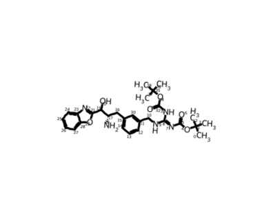 CC(C)(C)OC(=O)/N=C(/NCc1cccc(C[C@H](N)C(O)c2nc3ccccc3o2)c1)NC(=O)OC(C)(C)C